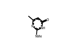 CNc1nc(C)cc(=O)[nH]1